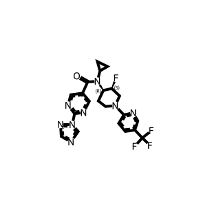 O=C(c1cnc(-n2cncn2)nc1)N(C1CC1)[C@@H]1CCN(c2ccc(C(F)(F)F)cn2)C[C@@H]1F